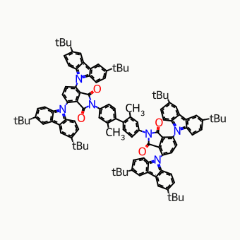 Cc1cc(N2C(=O)c3c(-n4c5ccc(C(C)(C)C)cc5c5cc(C(C)(C)C)ccc54)ccc(-n4c5ccc(C(C)(C)C)cc5c5cc(C(C)(C)C)ccc54)c3C2=O)ccc1-c1ccc(N2C(=O)c3c(-n4c5ccc(C(C)(C)C)cc5c5cc(C(C)(C)C)ccc54)ccc(-n4c5ccc(C(C)(C)C)cc5c5cc(C(C)(C)C)ccc54)c3C2=O)cc1C